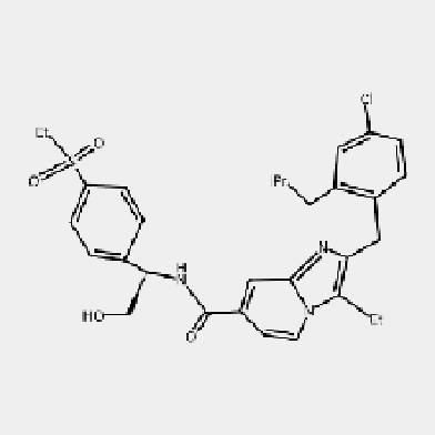 CCc1c(Cc2ccc(Cl)cc2CC(C)C)nc2cc(C(=O)N[C@@H](CO)c3ccc(S(=O)(=O)CC)cc3)ccn12